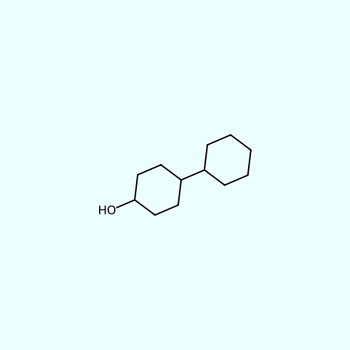 OC1CCC(C2CCCCC2)CC1